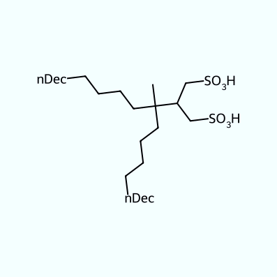 CCCCCCCCCCCCCCC(C)(CCCCCCCCCCCCCC)C(CS(=O)(=O)O)CS(=O)(=O)O